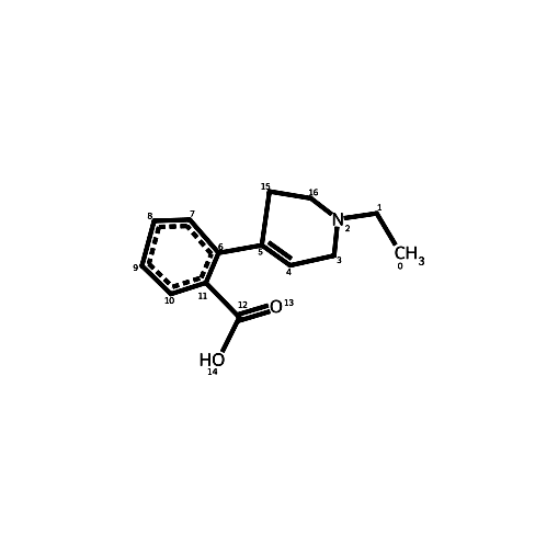 CCN1CC=C(c2ccccc2C(=O)O)CC1